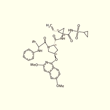 C=C[C@@H]1C[C@]1(NC(=O)[C@@H]1C[C@@H](Oc2nc(OC)cc3cc(OC)ccc23)CN1C(=O)C(Nc1ccccc1)C(C)C)C(=O)NS(=O)(=O)C1CC1